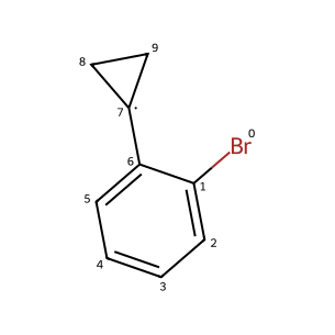 Brc1ccccc1[C]1CC1